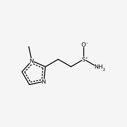 Cn1ccnc1CC[S+](N)[O-]